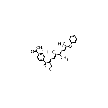 CC\C(=C/C=C(C)/C(C)=C/C=C(\C)Oc1ccccc1)C(=O)c1ccc(C(C)=O)cc1